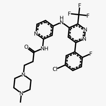 CN1CCN(CCC(=O)Nc2cc(Nc3cc(-c4cc(Cl)ccc4F)nnc3C(F)(F)F)ccn2)CC1